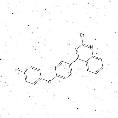 CCc1nc(-c2ccc(Oc3ccc(F)cc3)cc2)c2ccccc2n1